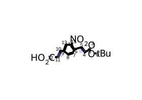 CC(C)(C)OC(=O)/C=C/c1ccc(/C=C/C(=O)O)cc1[N+](=O)[O-]